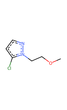 COCCn1nccc1Cl